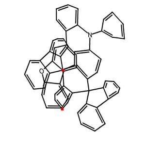 c1ccc(N(c2ccc3c(c2)C2(c4ccccc4-c4ccccc42)c2ccccc2C32c3ccccc3-c3ccccc32)c2ccccc2-c2ccc3c(c2)oc2ccccc23)cc1